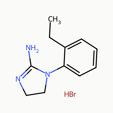 Br.CCc1ccccc1N1CCN=C1N